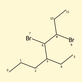 CC[CH]C(CC)C(Br)C(Br)CC